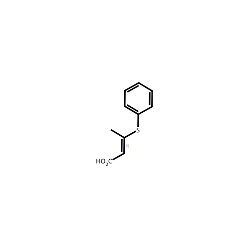 C/C(=C\C(=O)O)Sc1ccccc1